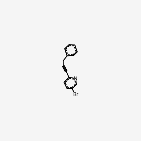 Brc1ccc(C#CCc2ccccc2)nc1